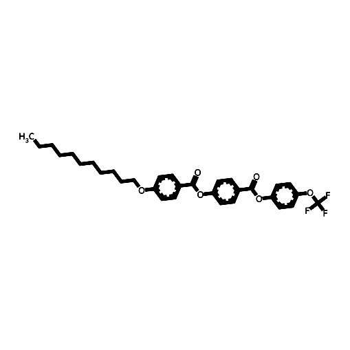 CCCCCCCCCCCOc1ccc(C(=O)Oc2ccc(C(=O)Oc3ccc(OC(F)(F)F)cc3)cc2)cc1